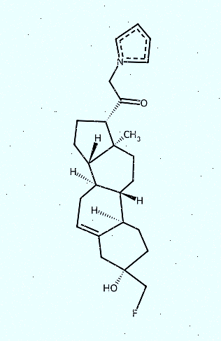 C[C@]12CC[C@H]3[C@@H](CC=C4C[C@](O)(CF)CC[C@@H]43)[C@@H]1CC[C@@H]2C(=O)Cn1cccc1